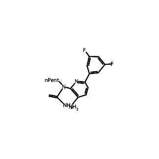 C=C(N)N(CCCCC)c1nc(-c2cc(F)cc(F)c2)ccc1N